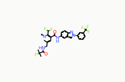 C=N/C(=C(\C=C(/C)CNC(=O)C(C)(C)F)C(=O)Nc1ccc2nn(-c3cccc(C(F)(F)F)c3)cc2c1)C(F)F